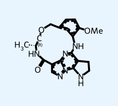 COc1ccc2cc1Nc1nc3c(cnn3c3c1CCN3)C(=O)N[C@H](C)COC2